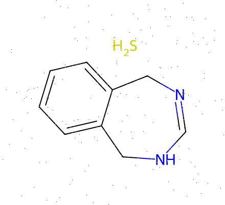 C1=NCc2ccccc2CN1.S